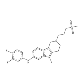 Cn1c2c(c3ccc(Nc4ccc(F)c(F)c4)cc31)CN(CCCS(C)(=O)=O)CC2